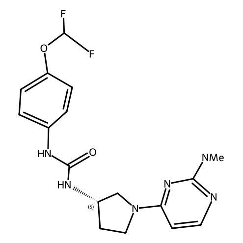 CNc1nccc(N2CC[C@H](NC(=O)Nc3ccc(OC(F)F)cc3)C2)n1